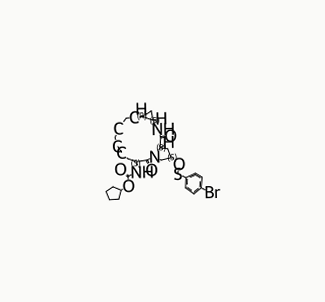 O=C(N[C@H]1CCCCCCC[C@@H]2C[C@@H]2NC(=O)[C@@H]2C[C@H](OSc3ccc(Br)cc3)CN2C1=O)OC1CCCC1